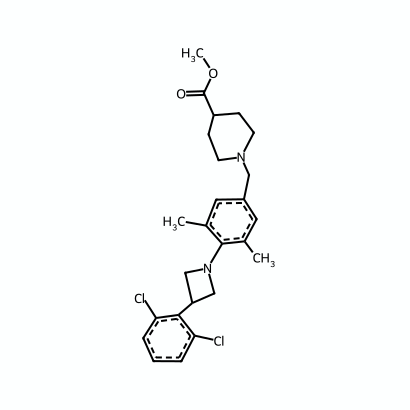 COC(=O)C1CCN(Cc2cc(C)c(N3CC(c4c(Cl)cccc4Cl)C3)c(C)c2)CC1